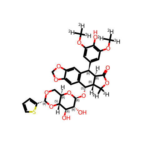 [2H]C([2H])([2H])Oc1cc([C@@H]2c3cc4c(cc3[C@@H](O[C@@H]3O[C@@H]5CO[C@@H](c6cccs6)O[C@H]5[C@H](O)[C@H]3O)[C@@H]3[C@@H]2C(=O)OC3([2H])[2H])OCO4)cc(OC([2H])([2H])[2H])c1O